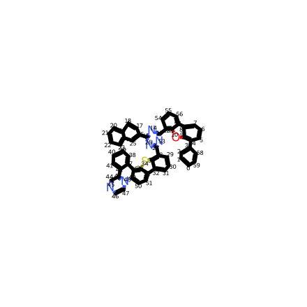 c1ccc(-c2cccc3c2oc2c(-c4nc(-c5ccc6ccccc6c5)nc(-c5cccc6c5sc5c(-c7ccccc7-c7cnccn7)cccc56)n4)cccc23)cc1